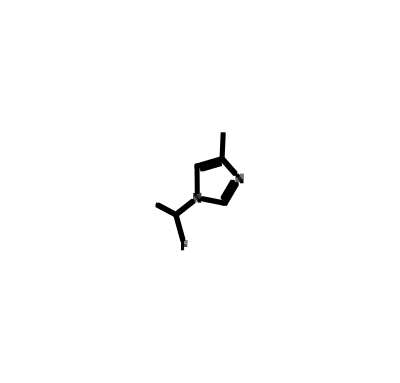 Cc1cn(C(C)F)cn1